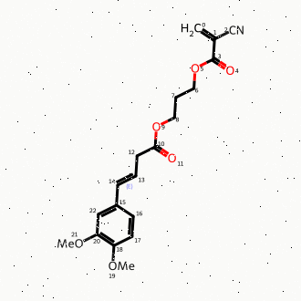 C=C(C#N)C(=O)OCCCOC(=O)C/C=C/c1ccc(OC)c(OC)c1